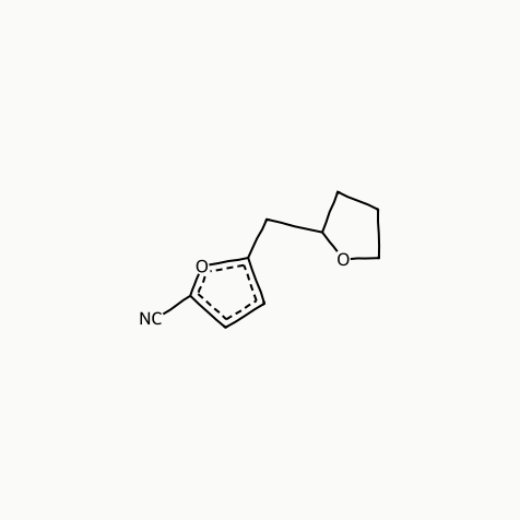 N#Cc1ccc(CC2CCCO2)o1